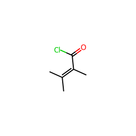 CC(C)=C(C)C(=O)Cl